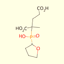 CC(CCC(=O)O)(C(=O)O)P(=O)(O)C1CCCO1